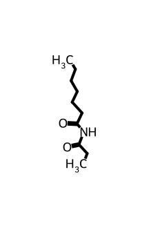 CCCCCCC(=O)NC(=O)CC